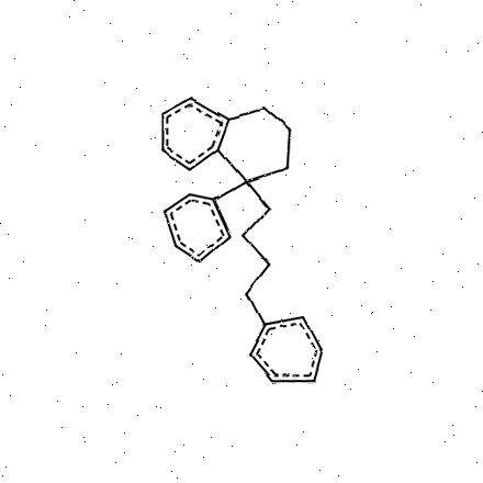 c1ccc(CCCCC2(c3ccccc3)CCCc3ccccc32)cc1